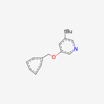 CC(C)(C)c1cncc(OCc2ccccc2)c1